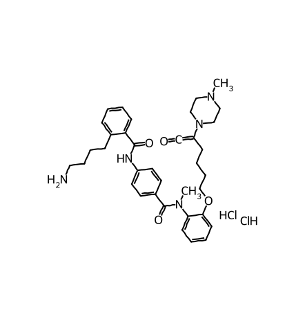 CN1CCN(C(=C=O)CCCCOc2ccccc2N(C)C(=O)c2ccc(NC(=O)c3ccccc3CCCCN)cc2)CC1.Cl.Cl